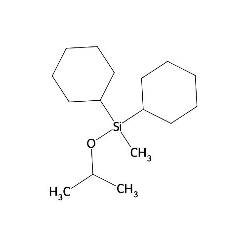 CC(C)O[Si](C)(C1CCCCC1)C1CCCCC1